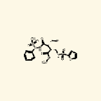 CC(C)C[C@@H](C(=O)NN(c1ccccc1)S(C)(=O)=O)[C@H](CNS(=O)(=O)c1cccs1)C(=O)OC(C)(C)C